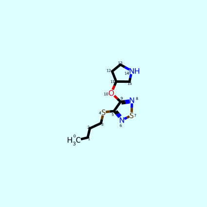 CCCCSc1nsnc1OC1CCNC1